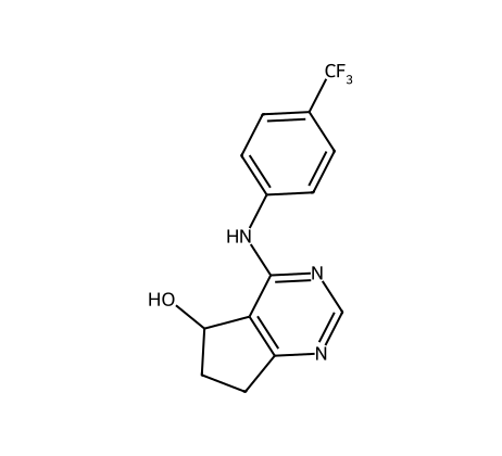 OC1CCc2ncnc(Nc3ccc(C(F)(F)F)cc3)c21